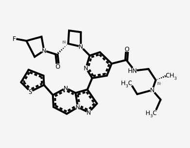 CCN(CC)[C@@H](C)CNC(=O)c1cc(-c2cnn3ccc(-c4cccs4)nc23)nc(N2CC[C@H]2C(=O)N2CC(F)C2)c1